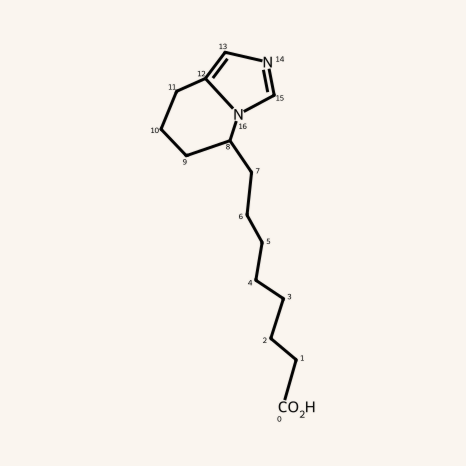 O=C(O)CCCCCCCC1CCCc2cncn21